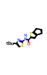 CC(C)(C)c1csc(NC(=O)c2cc3c(s2)CCC3)n1